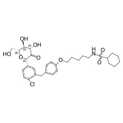 O=C1[C@H](c2ccc(Cl)c(Cc3ccc(OCCCCCNS(=O)(=O)C4CCCCC4)cc3)c2)O[C@H](CO)[C@@H](O)[C@@H]1O